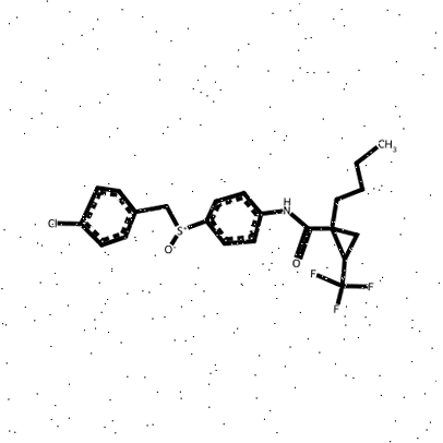 CCCCC1(C(=O)Nc2ccc([S+]([O-])Cc3ccc(Cl)cc3)cc2)CC1C(F)(F)F